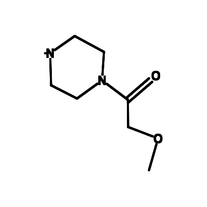 COCC(=O)N1CC[N]CC1